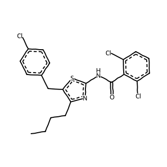 CCCCc1nc(NC(=O)c2c(Cl)cccc2Cl)sc1Cc1ccc(Cl)cc1